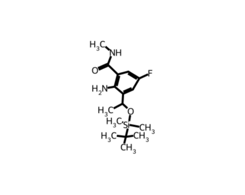 CNC(=O)c1cc(F)cc(C(C)O[Si](C)(C)C(C)(C)C)c1N